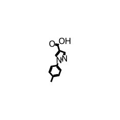 Cc1ccc(-n2cc(C(=O)O)cn2)cc1